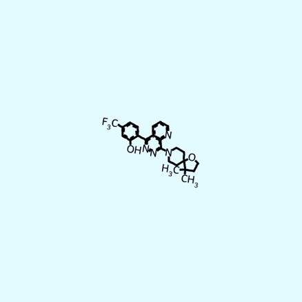 CC1(C)CCOC12CCN(c1nnc(-c3ccc(C(F)(F)F)cc3O)c3cccnc13)CC2